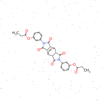 CCC(=O)Oc1cccc(N2C(=O)C3C4C=CC(C3C2=O)C2C(=O)N(c3cccc(OC(=O)CC)c3)C(=O)C42)c1